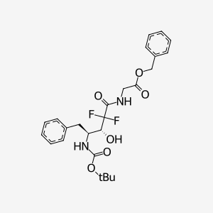 CC(C)(C)OC(=O)N[C@@H](Cc1ccccc1)[C@@H](O)C(F)(F)C(=O)NCC(=O)OCc1ccccc1